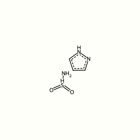 N[SH](=O)=O.c1cn[nH]c1